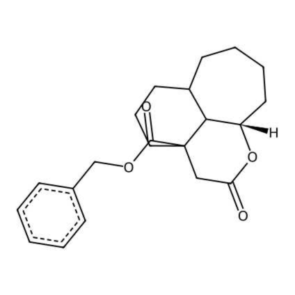 O=C1CC2(C(=O)OCc3ccccc3)CCCC3CCCC[C@H](O1)C32